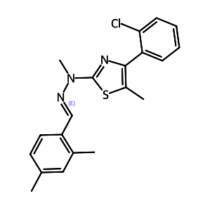 Cc1ccc(/C=N/N(C)c2nc(-c3ccccc3Cl)c(C)s2)c(C)c1